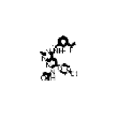 CCN1CCN(c2cc3c(N[C@H](C)c4cccc(C(C)F)c4F)nc(C)nc3nc2NC2COC2)CC1